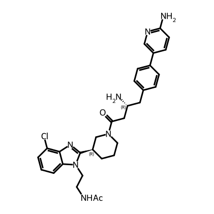 CC(=O)NCCn1c([C@@H]2CCCN(C(=O)C[C@H](N)Cc3ccc(-c4ccc(N)nc4)cc3)C2)nc2c(Cl)cccc21